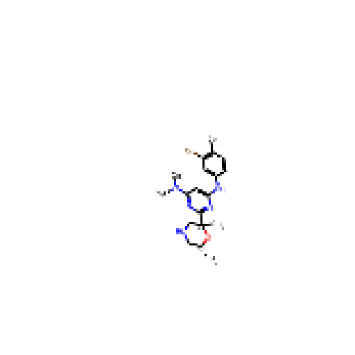 Cc1ccc(Nc2cc(N(C)C)nc([C@@]3(C)CNC[C@@H](C)O3)n2)cc1Br